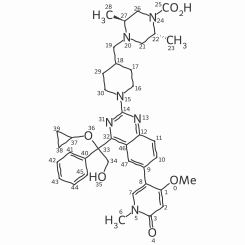 COc1cc(=O)n(C)cc1-c1ccc2nc(N3CCC(CN4C[C@@H](C)N(C(=O)O)C[C@@H]4C)CC3)nc(C(CO)(OC3CC3)c3ccccc3)c2c1